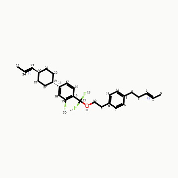 C/C=C/CCc1ccc(CCOC(F)(F)c2ccc([C@H]3CC[C@H](/C=C/C)CC3)cc2F)cc1